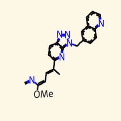 C=N/C(=C\C=C(/C)c1ccc2nnn(Cc3ccc4ncccc4c3)c2n1)OC